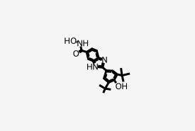 CC(C)(C)c1cc(-c2nc3ccc(C(=O)NO)cc3[nH]2)cc(C(C)(C)C)c1O